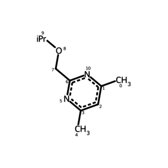 Cc1cc(C)nc(COC(C)C)n1